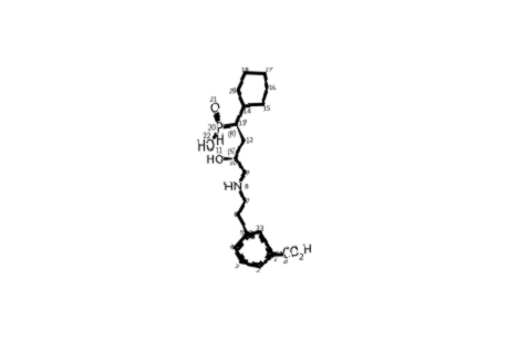 O=C(O)c1cccc(CCNC[C@@H](O)C[C@H](C2CCCCC2)[PH](=O)O)c1